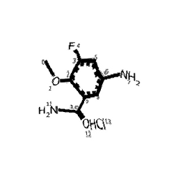 COc1c(F)cc(N)cc1C(N)=O.Cl